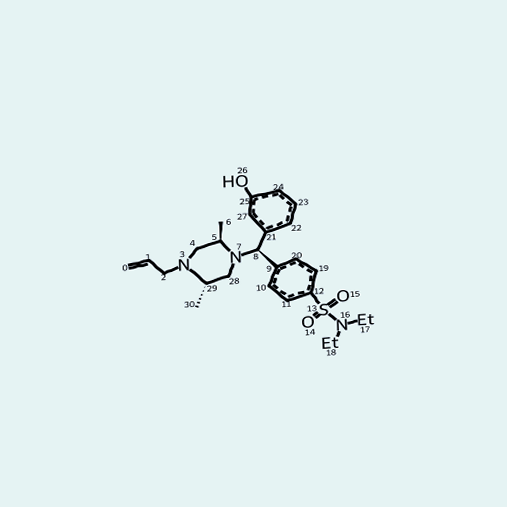 C=CCN1C[C@@H](C)N([C@H](c2ccc(S(=O)(=O)N(CC)CC)cc2)c2cccc(O)c2)C[C@@H]1C